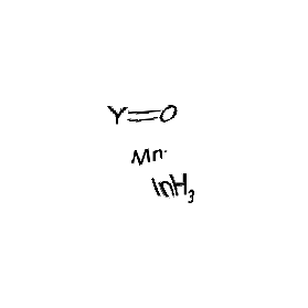 [InH3].[Mn].[O]=[Y]